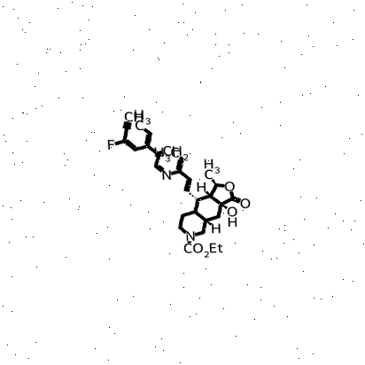 C#C/C(F)=C\C(=C/C)C(=C)\C=N/C(=C\C)/C=C/[C@H]1C2CCN(C(=O)OCC)C[C@H]2C[C@@]2(O)C(=O)O[C@H](C)[C@@H]12